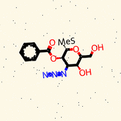 CS[C@@H]1OC(CO)[C@@H](O)C(N=[N+]=[N-])[C@H]1OC(=O)c1ccccc1